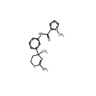 Cn1cccc1C(=O)Nc1cccc(C2(C)CCSC(N)=N2)c1